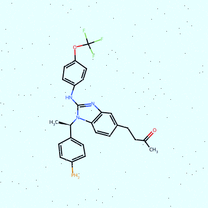 CC(=O)CCc1ccc2c(c1)nc(Nc1ccc(OC(F)(F)F)cc1)n2[C@H](C)c1ccc(P)cc1